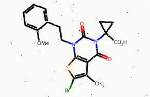 COc1ccccc1CCn1c(=O)n(C2(C(=O)O)CC2)c(=O)c2c(C)c(Br)sc21